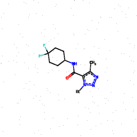 CCn1nnc(C)c1C(=O)NC1CCC(F)(F)CC1